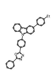 CCc1ccc(-c2ccc3c(c2)c2ccccc2n3-c2ccc(-c3nnc(-c4ccccc4)o3)cc2)cc1